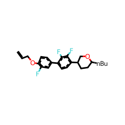 C=CCOc1ccc(-c2ccc(C3CCC(CCCC)OC3)c(F)c2F)cc1F